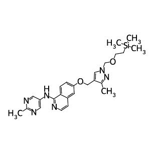 Cc1ncc(Nc2nccc3cc(OCc4cn(COCC[Si](C)(C)C)nc4C)ccc23)cn1